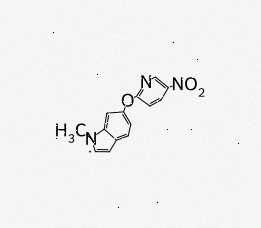 Cn1[c]cc2ccc(Oc3ccc([N+](=O)[O-])cn3)cc21